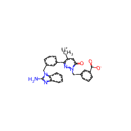 Cc1cc(=O)n(Cc2cccc(C(=O)[O-])c2)nc1-c1cccc(Cn2c(N)nc3ccccc32)c1.[Li+]